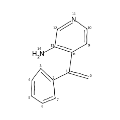 C=C(c1ccccc1)c1ccncc1N